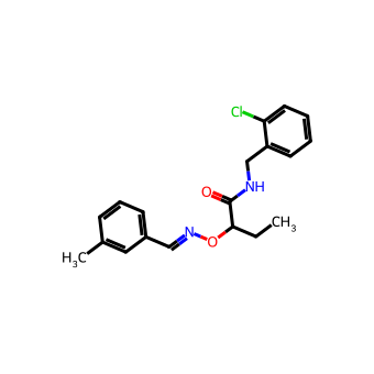 CCC(O/N=C/c1cccc(C)c1)C(=O)NCc1ccccc1Cl